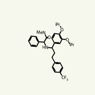 CNC(=O)C(NC(CCc1ccc(C(F)(F)F)cc1)c1ccc(OC(C)C)c(OC(C)C)c1)c1ccccc1